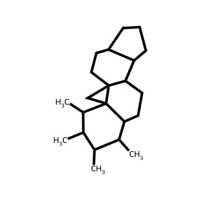 CC1C(C)C(C)C23CC24CCC2[CH]CCC2C4CCC3C1C